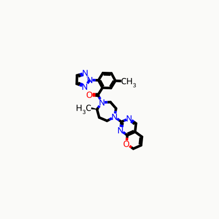 Cc1ccc(-n2nccn2)c(C(=O)N2CCN(c3ncc4c(n3)OCC=C4)CC[C@H]2C)c1